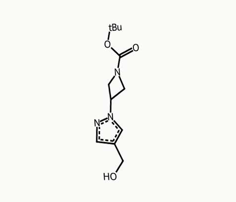 CC(C)(C)OC(=O)N1CC(n2cc(CO)cn2)C1